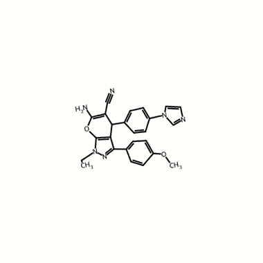 CCn1nc(-c2ccc(OC)cc2)c2c1OC(N)=C(C#N)C2c1ccc(-n2ccnc2)cc1